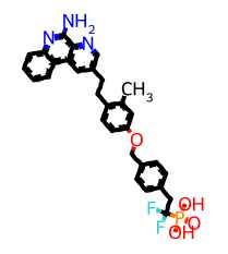 Cc1cc(OCc2ccc(CC(F)(F)P(=O)(O)O)cc2)ccc1CCc1cnc2c(N)nc3ccccc3c2c1